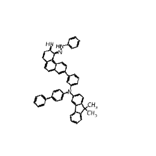 CC1(C)c2ccccc2-c2cc(N(c3ccc(-c4ccccc4)cc3)c3cccc(-c4ccc5c6c(ccc5c4)C=CC(=N)/C6=N\Nc4ccccc4)c3)ccc21